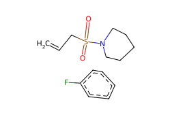 C=CCS(=O)(=O)N1CCCCC1.Fc1ccccc1